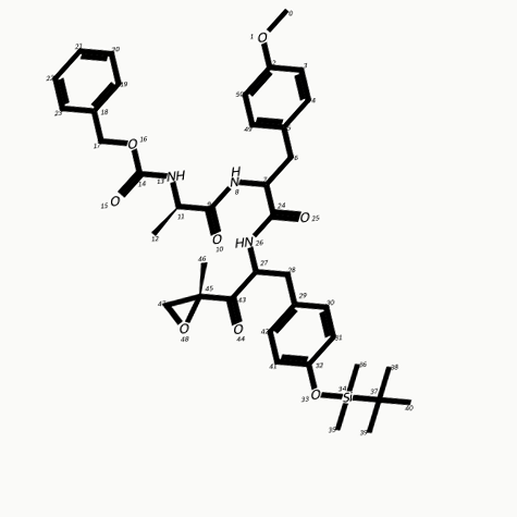 COc1ccc(CC(NC(=O)[C@@H](C)NC(=O)OCc2ccccc2)C(=O)NC(Cc2ccc(O[Si](C)(C)C(C)(C)C)cc2)C(=O)[C@@]2(C)CO2)cc1